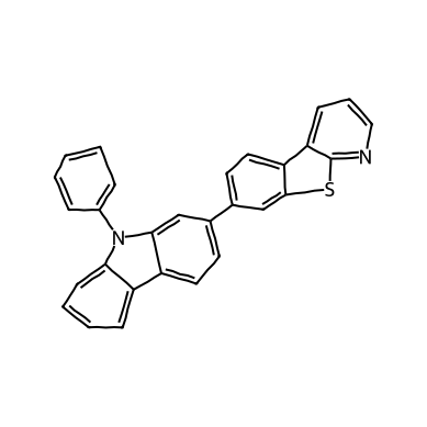 c1ccc(-n2c3ccccc3c3ccc(-c4ccc5c(c4)sc4ncccc45)cc32)cc1